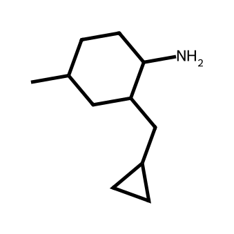 CC1CCC(N)C(CC2CC2)C1